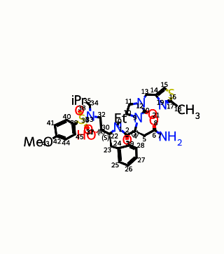 CCN(C(=O)[C@H](CC(N)=O)N1CCN(Cc2csc(C)n2)C1=O)[C@@H](Cc1ccccc1)[C@H](O)CN(CC(C)C)S(=O)(=O)c1ccc(OC)cc1